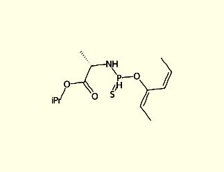 C/C=C\C(=C/C)O[PH](=S)N[C@@H](C)C(=O)OC(C)C